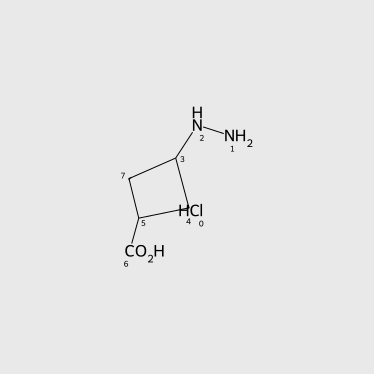 Cl.NNC1CC(C(=O)O)C1